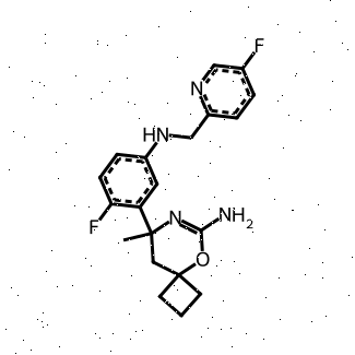 CC1(c2cc(NCc3ccc(F)cn3)ccc2F)CC2(CCC2)OC(N)=N1